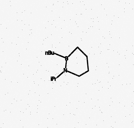 CCCCB1CCCCN1C(C)C